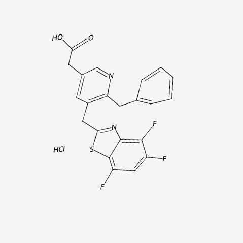 Cl.O=C(O)Cc1cnc(Cc2ccccc2)c(Cc2nc3c(F)c(F)cc(F)c3s2)c1